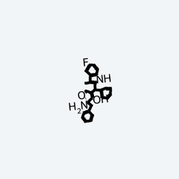 Cc1c(C(/C(C=O)=C(\O)[C@](C)(N)Cc2ccccc2)c2ccccc2)[nH]c2ccc(F)cc12